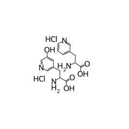 Cl.Cl.NC(Cc1cccnc1)C(=O)O.NC(Cc1cncc(O)c1)C(=O)O